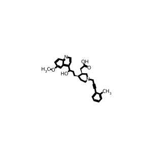 COc1ccc2nccc(C(O)CC[C@@H]3CCN(CC#Cc4ccccc4C)C[C@@H]3CC(=O)O)c2c1